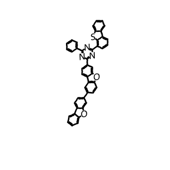 c1ccc(-c2nc(-c3ccc4c(c3)oc3ccc(-c5ccc6c(c5)oc5ccccc56)cc34)nc(-c3cccc4c3sc3ccccc34)n2)cc1